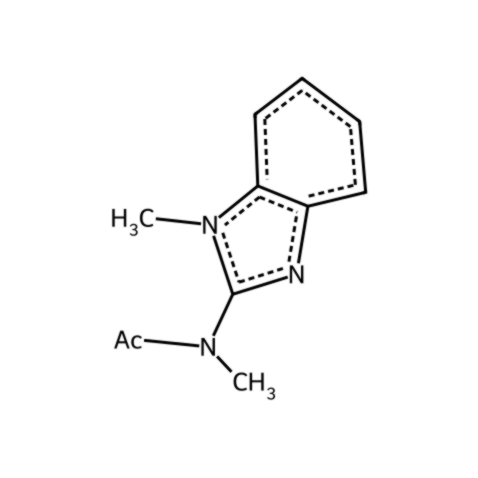 CC(=O)N(C)c1nc2ccccc2n1C